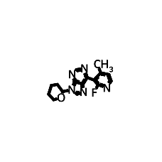 Cc1ccnc(F)c1-c1ncnc2c1ncn2C1CCCCO1